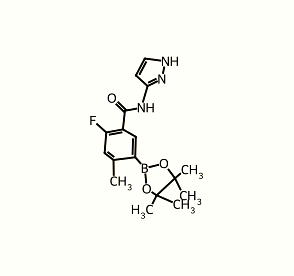 Cc1cc(F)c(C(=O)Nc2cc[nH]n2)cc1B1OC(C)(C)C(C)(C)O1